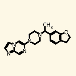 CC(c1ccc2c(c1)OCC2)N1CCN(c2cn3ccnc3cn2)CC1